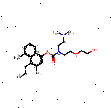 CCC(C)CCc1c(C)cc(OC(=O)N(CCOCCO)CCN(C)C)c2cccc(C)c12